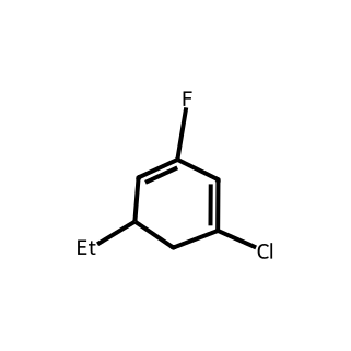 CCC1C=C(F)C=C(Cl)C1